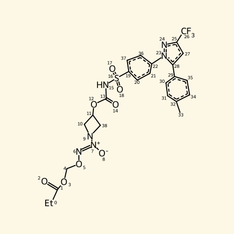 CCC(=O)OCO/N=[N+](\[O-])N1CC(OC(=O)NS(=O)(=O)c2ccc(-n3nc(C(F)(F)F)cc3-c3ccc(C)cc3)cc2)C1